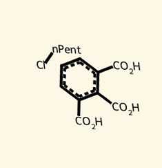 CCCCCCl.O=C(O)c1cccc(C(=O)O)c1C(=O)O